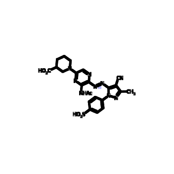 CC(=O)Nc1nc(N2CCCC(C(=O)O)C2)cnc1/N=N/c1c(C#N)c(C)nn1-c1ccc(S(=O)(=O)O)cc1